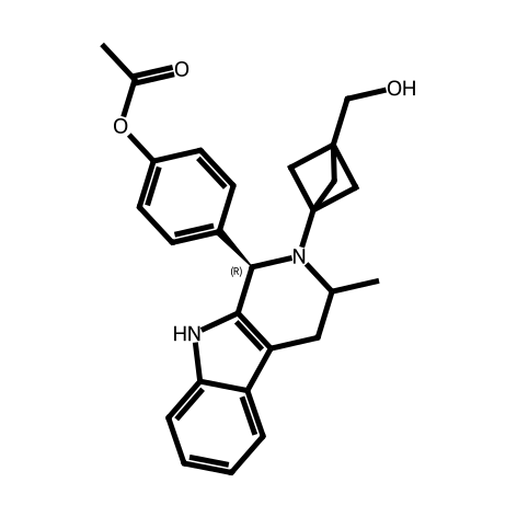 CC(=O)Oc1ccc([C@@H]2c3[nH]c4ccccc4c3CC(C)N2C23CC(CO)(C2)C3)cc1